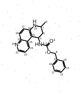 CC1CC(NC(=O)OCc2ccccc2)c2c(ccc3ncccc23)N1